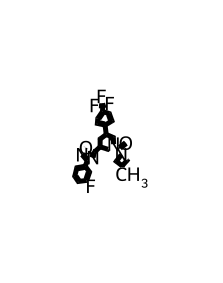 CC1CN(C(=O)N2CC(c3ccc(C(F)(F)F)cc3)CC(c3nc(-c4cccc(F)c4)no3)C2)C1